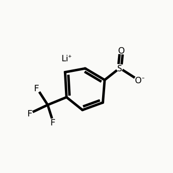 O=S([O-])c1ccc(C(F)(F)F)cc1.[Li+]